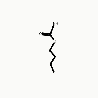 [NH]C(=O)OCCCF